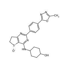 Cc1nnc(-c2ccc(-c3nc4c(c(NC5CCC(O)CC5)n3)[S@+]([O-])CC4)cc2)o1